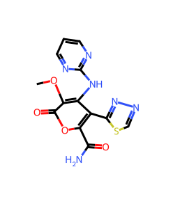 COc1c(Nc2ncccn2)c(-c2nncs2)c(C(N)=O)oc1=O